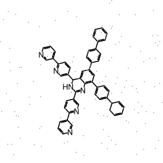 C1=CCC(c2ccc(-c3cc(-c4ccc(-c5ccccc5)cc4)cc4c3N=C(c3ccc(-c5cccnc5)nc3)NC4c3ccc(-c4cccnc4)nc3)cc2)C=C1